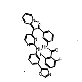 O=C(Nc1cccc(-c2nn3ccccc3c2-c2ccnc(Nc3cccc(-c4cnco4)c3)n2)c1)c1c(F)cccc1F